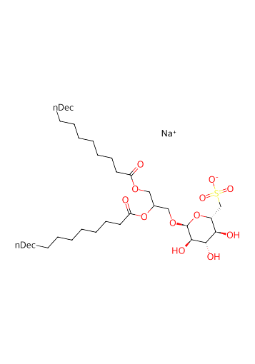 CCCCCCCCCCCCCCCCCC(=O)OCC(CO[C@H]1O[C@H](CS(=O)(=O)[O-])[C@@H](O)[C@H](O)[C@H]1O)OC(=O)CCCCCCCCCCCCCCCCC.[Na+]